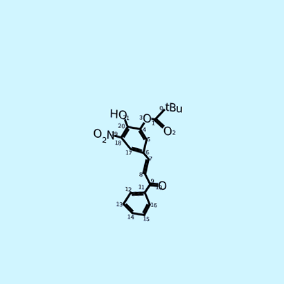 CC(C)(C)C(=O)Oc1cc(C=CC(=O)c2ccccc2)cc([N+](=O)[O-])c1O